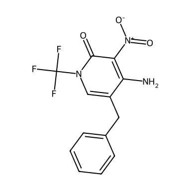 Nc1c(Cc2ccccc2)cn(C(F)(F)F)c(=O)c1[N+](=O)[O-]